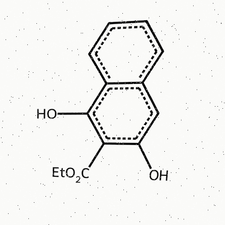 CCOC(=O)c1c(O)cc2ccccc2c1O